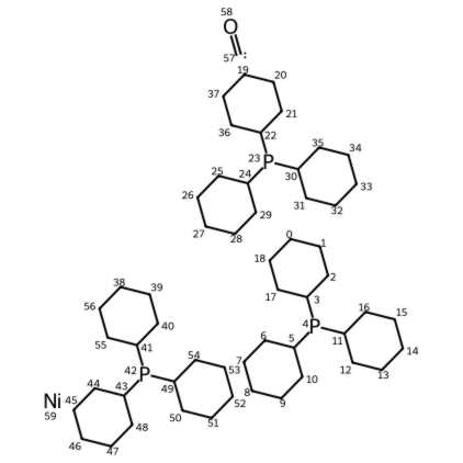 C1CCC(P(C2CCCCC2)C2CCCCC2)CC1.C1CCC(P(C2CCCCC2)C2CCCCC2)CC1.C1CCC(P(C2CCCCC2)C2CCCCC2)CC1.[C]=O.[Ni]